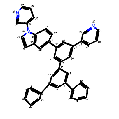 c1ccc(-c2cc(-c3ccccc3)cc(-c3cc(-c4cccnc4)cc(-c4ccc5c(ccn5-c5cccnc5)c4)c3)c2)cc1